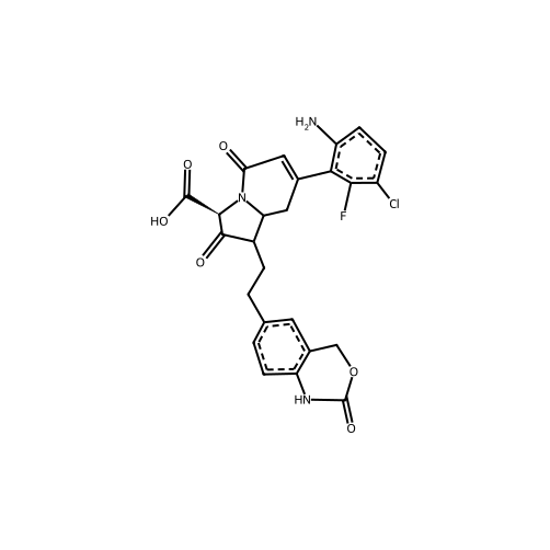 Nc1ccc(Cl)c(F)c1C1=CC(=O)N2C(C1)C(CCc1ccc3c(c1)COC(=O)N3)C(=O)[C@H]2C(=O)O